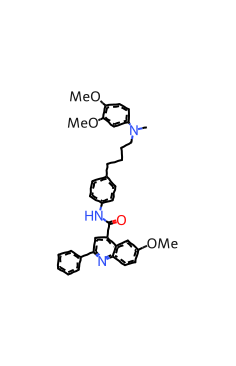 COc1ccc2nc(-c3ccccc3)cc(C(=O)Nc3ccc(CCCCN(C)c4ccc(OC)c(OC)c4)cc3)c2c1